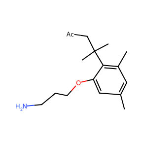 CC(=O)CC(C)(C)c1c(C)cc(C)cc1OCCCN